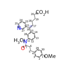 COc1ccc(CCC(=O)N(C)c2cccc(/C(=C/CCCC(=O)O)c3cccnc3)c2)cc1